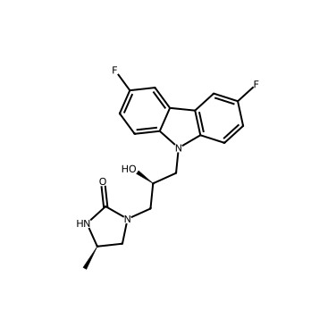 C[C@@H]1CN(C[C@@H](O)Cn2c3ccc(F)cc3c3cc(F)ccc32)C(=O)N1